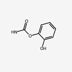 [NH]C(=O)Oc1ccccc1O